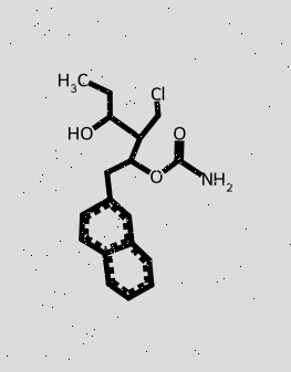 CCC(O)C(CCl)C(Cc1ccc2ccccc2c1)OC(N)=O